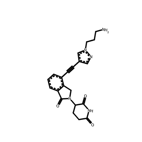 NCCCn1cc(C#Cc2cccc3c2CN(C2CCC(=O)NC2=O)C3=O)cn1